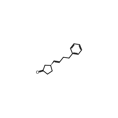 O=C1CC[C@H](/C=C/CCc2ccccc2)C1